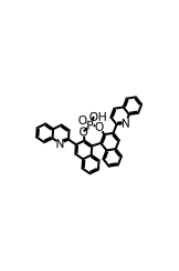 O=P1(O)Oc2c(-c3ccc4ccccc4n3)cc3ccccc3c2-c2c(c(-c3ccc4ccccc4n3)cc3ccccc23)O1